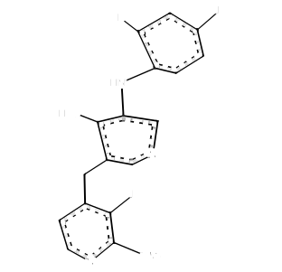 CSc1nccc(Cc2cncc(Nc3ccc(F)cc3F)c2C)c1F